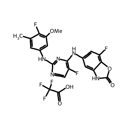 COc1cc(Nc2ncc(F)c(Nc3cc(F)c4oc(=O)[nH]c4c3)n2)cc(C)c1F.O=C(O)C(F)(F)F